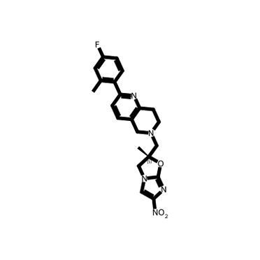 Cc1cc(F)ccc1-c1ccc2c(n1)CCN(C[C@@]1(C)Cn3cc([N+](=O)[O-])nc3O1)C2